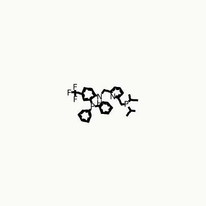 CC(C)P(Cc1cccc(CNc2ccc(C(F)(F)F)cc2P(c2ccccc2)c2ccccc2)n1)C(C)C